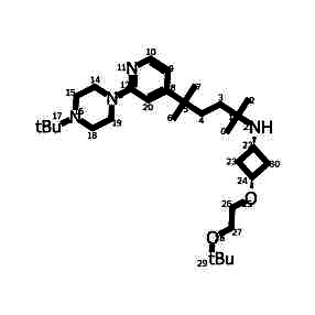 CC(C)(CCC(C)(C)c1ccnc(N2CCN(C(C)(C)C)CC2)c1)N[C@H]1C[C@@H](OCCOC(C)(C)C)C1